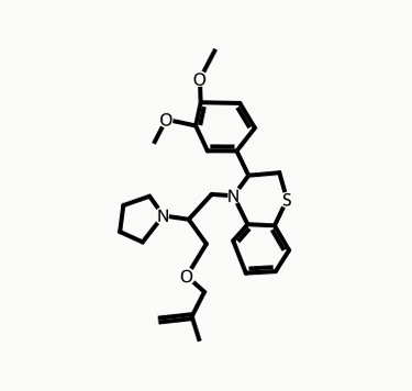 C=C(C)COCC(CN1c2ccccc2SCC1c1ccc(OC)c(OC)c1)N1CCCC1